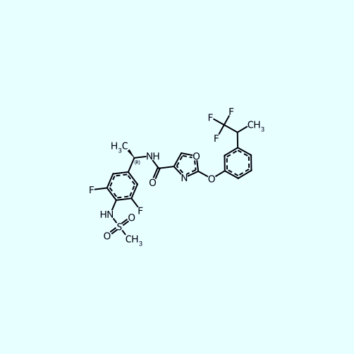 CC(c1cccc(Oc2nc(C(=O)N[C@H](C)c3cc(F)c(NS(C)(=O)=O)c(F)c3)co2)c1)C(F)(F)F